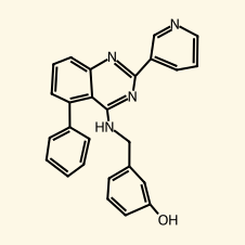 Oc1cccc(CNc2nc(-c3cccnc3)nc3cccc(-c4ccccc4)c23)c1